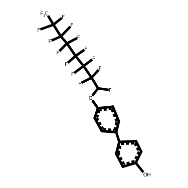 Oc1ccc(-c2ccc(OC(F)C(F)(F)C(F)(F)C(F)(F)C(F)(F)C(F)(F)C(F)(F)C(F)(F)F)cc2)cc1